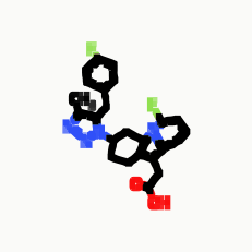 Cc1nnn(C2CCc3c(CC(=O)O)c4cccc(F)n4c3C2)c1Cc1ccc(F)cc1